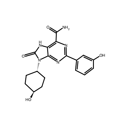 NC(=O)c1nc(-c2cccc(O)c2)nc2c1[nH]c(=O)n2[C@H]1CC[C@H](O)CC1